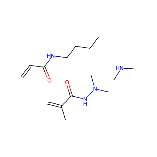 C=C(C)C(=O)NN(C)C.C=CC(=O)NCCCC.CNC